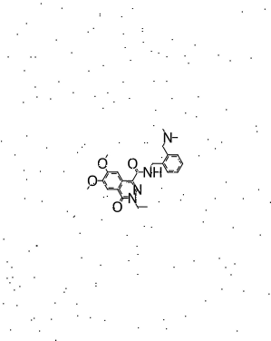 CCn1nc(C(=O)NCc2ccccc2CN(C)C)c2cc(OC)c(OC)cc2c1=O